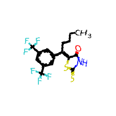 CCCC/C(=C1/SC(=S)NC1=O)c1cc(C(F)(F)F)cc(C(F)(F)F)c1